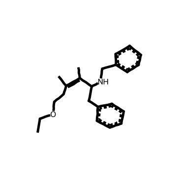 CCOCCC(C)=C(C)C(Cc1ccccc1)NCc1ccccc1